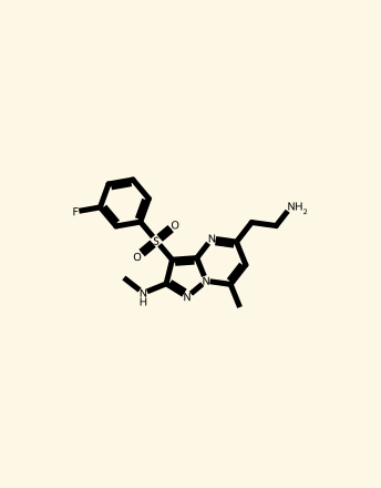 CNc1nn2c(C)cc(CCN)nc2c1S(=O)(=O)c1cccc(F)c1